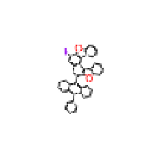 Ic1cc2cc(-c3c4ccccc4c(-c4ccccc4)c4ccccc34)c3oc4ccccc4c3c2c2c1oc1ccccc12